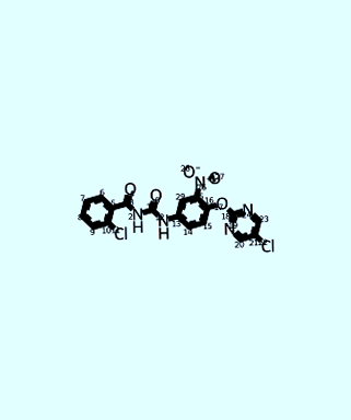 O=C(NC(=O)c1ccccc1Cl)Nc1ccc(Oc2ncc(Cl)cn2)c([N+](=O)[O-])c1